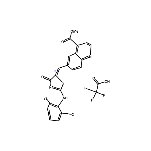 COC(=O)c1ccnc2ccc(/C=C3\SC(Nc4c(Cl)cccc4Cl)=NC3=O)cc12.O=C(O)C(F)(F)F